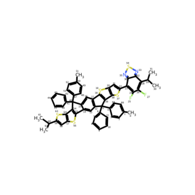 Cc1ccc(C2(c3ccccc3)c3cc4c(cc3-c3sc5cc(-c6c(F)c(F)c(C(C)C)c7nsnc67)sc5c32)C(c2ccccc2)(c2ccc(C)cc2)c2c-4sc3cc(C(C)C)sc23)cc1